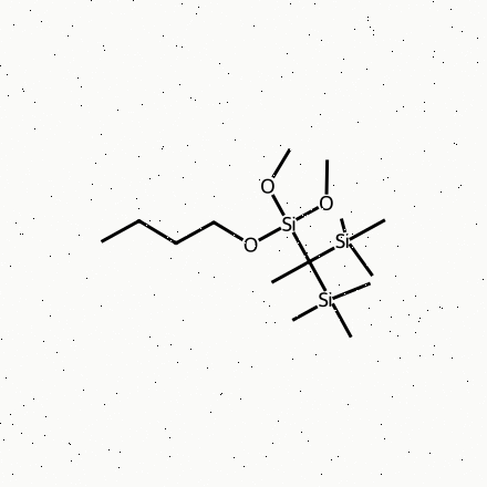 CCCCO[Si](OC)(OC)C(C)([Si](C)(C)C)[Si](C)(C)C